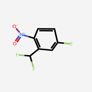 O=[N+]([O-])c1ccc(F)cc1C(F)F